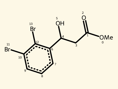 COC(=O)CC(O)c1cccc(Br)c1Br